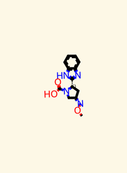 CON=C1C[C@@H](c2nc3ccccc3[nH]2)N(C(=O)O)C1